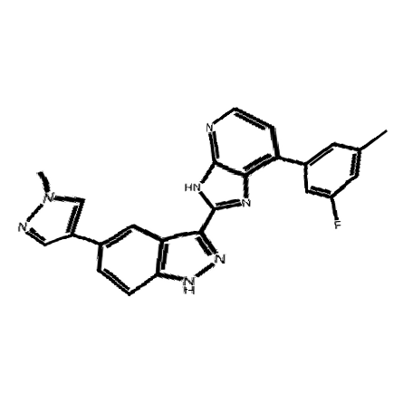 Cc1cc(F)cc(-c2ccnc3[nH]c(-c4n[nH]c5ccc(-c6cnn(C)c6)cc45)nc23)c1